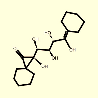 O=C1C2(CCCCC2)[C@@]1(O)[C@@H](O)[C@H](O)[C@H](O)C(O)=C1CCCCC1